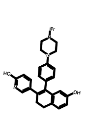 CC(C)N1CCN(c2ccc(C3=C(c4ccc(O)nc4)CCc4ccc(O)cc43)cc2)CC1